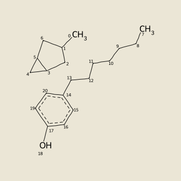 CC1CC2CC2C1.CCCCCCCc1ccc(O)cc1